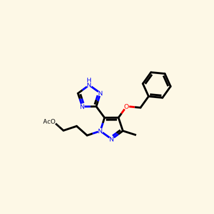 CC(=O)OCCCn1nc(C)c(OCc2ccccc2)c1-c1nc[nH]n1